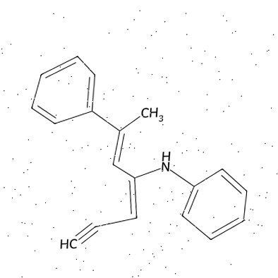 C#C/C=C(\C=C(/C)c1ccccc1)Nc1ccccc1